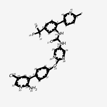 Cc1ccc(-c2ccc(C(F)(F)F)cc2NC(=O)Nc2cnc(Oc3ccc(-c4cc(Cl)cnc4N)cc3)nc2)cn1